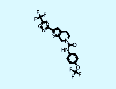 O=C(Nc1ccc(OC(F)(F)F)cc1)N1CCc2cc(-c3noc(C(F)(F)F)n3)sc2C1